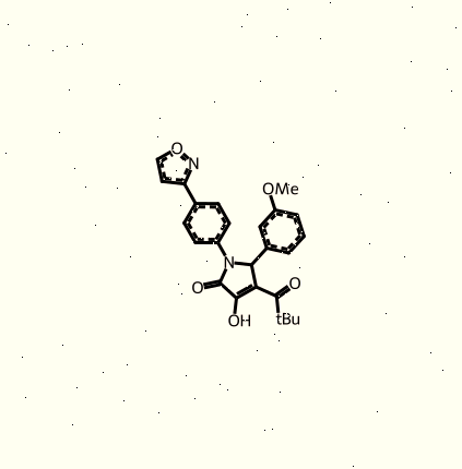 COc1cccc(C2C(C(=O)C(C)(C)C)=C(O)C(=O)N2c2ccc(-c3ccon3)cc2)c1